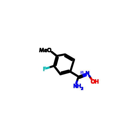 COc1ccc(/C(N)=N/O)cc1F